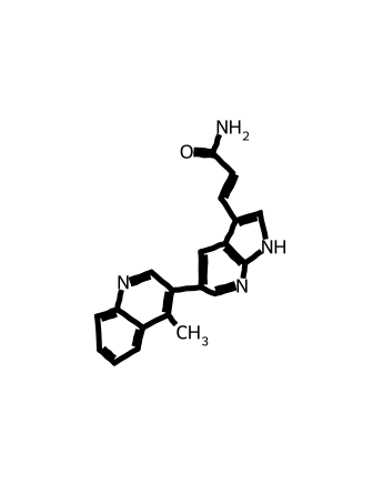 Cc1c(-c2cnc3[nH]cc(C=CC(N)=O)c3c2)cnc2ccccc12